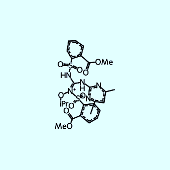 COC(=O)c1ccccc1S(=O)(=O)NC(Nc1nc(C)cc(C)n1)=[N+](OC(C)C)S(=O)(=O)c1ccccc1C(=O)OC